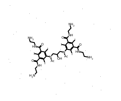 CC(=O)N(CC(O)CN(C(C)=O)c1c(I)c(C(=O)NCCN)c(I)c(C(=O)NCCN)c1I)c1c(I)c(C(=O)NCCN)c(I)c(C(=O)NCCN)c1I